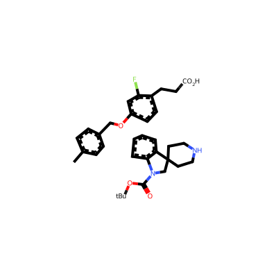 CC(C)(C)OC(=O)N1CC2(CCNCC2)c2ccccc21.Cc1ccc(COc2ccc(CCC(=O)O)c(F)c2)cc1